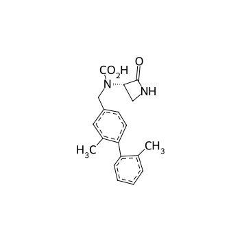 Cc1ccccc1-c1ccc(CN(C(=O)O)[C@H]2CNC2=O)cc1C